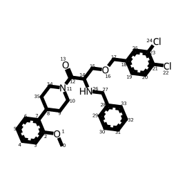 COc1ccccc1C1CCN(C(=O)C(COCc2ccc(Cl)c(Cl)c2)NCc2ccccc2)CC1